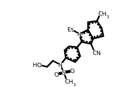 CCn1c(-c2ccc(N(CCO)S(C)(=O)=O)cc2)c(C#N)c2ccc(C)cc21